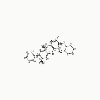 CCCCc1nc(C)n(CC2CCCCC2)c(=O)c1Cc1ccc(-c2ccccc2)c(C#N)c1